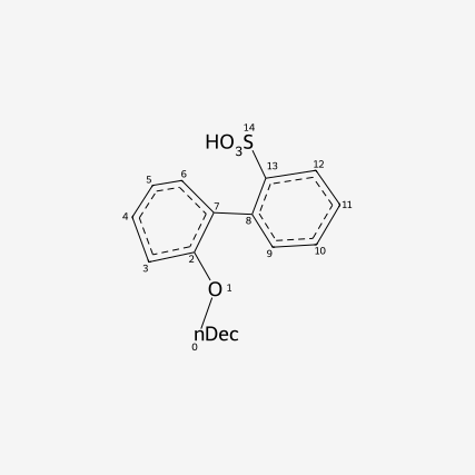 CCCCCCCCCCOc1ccccc1-c1ccccc1S(=O)(=O)O